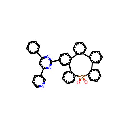 O=S1(=O)c2ccccc2-c2ccccc2-c2ccccc2-c2ccc(-c3nc(-c4ccccc4)cc(-c4cccnc4)n3)cc2-c2ccccc21